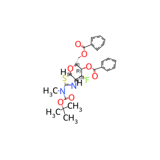 CN(C(=O)OC(C)(C)C)C1=N[C@@H]2[C@H](F)[C@H](OC(=O)c3ccccc3)[C@@H](COC(=O)c3ccccc3)O[C@@H]2S1